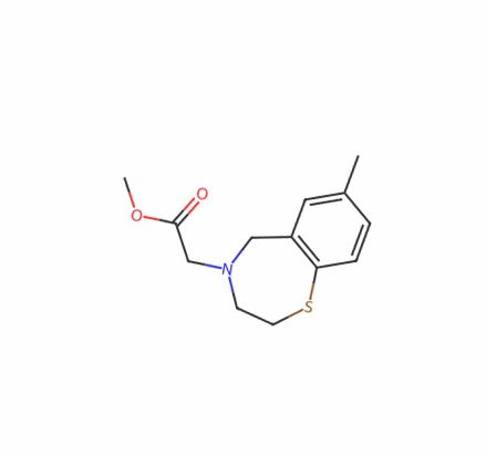 COC(=O)CN1CCSc2ccc(C)cc2C1